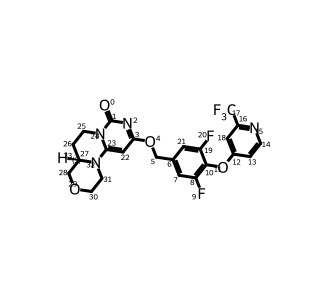 O=c1nc(OCc2cc(F)c(Oc3ccnc(C(F)(F)F)c3)c(F)c2)cc2n1CC[C@H]1COCCN21